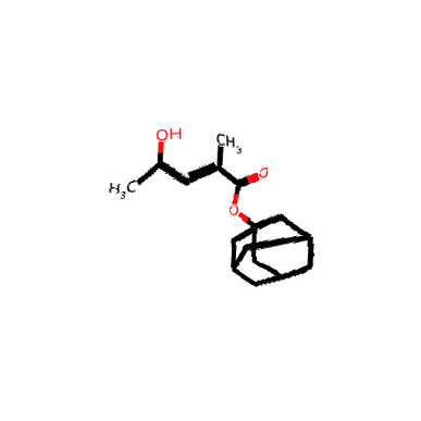 CC(=CC(C)O)C(=O)OC12CC3CC(CC(C3)C1)C2